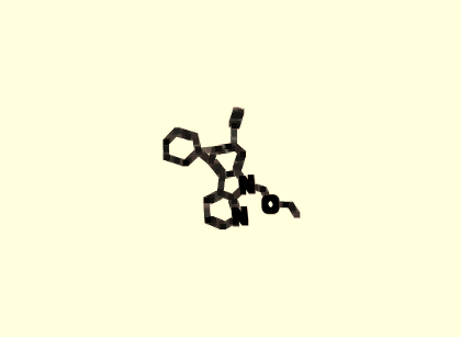 C#Cc1cc2c(c3c1C31C=CCCC1)c1cccnc1n2COCC